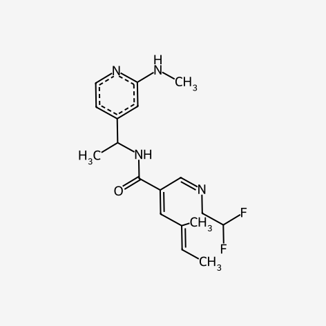 C/C=C(C)/C=C(\C=N/CC(F)F)C(=O)NC(C)c1ccnc(NC)c1